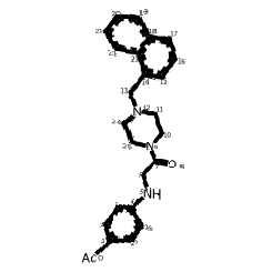 CC(=O)c1ccc(NCC(=O)N2CCN(Cc3cccc4ccccc34)CC2)cc1